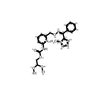 CCOC(COC(=O)Nc1cccc(CO/N=C(/c2ccccc2)c2nnnn2C)n1)OCC